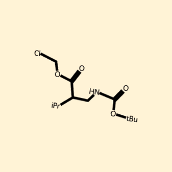 CC(C)C(CNC(=O)OC(C)(C)C)C(=O)OCCl